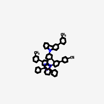 Cc1cccc(-c2ccc3c(c2)c2ccccc2n3-c2ccc(-c3nc(-c4ccccc4)nc(-c4ccccc4)n3)c(-c3cc(-c4ccc(C#N)cc4)ccc3-n3c4ccccc4c4cc(-c5cccc(C)c5)ccc43)c2)c1